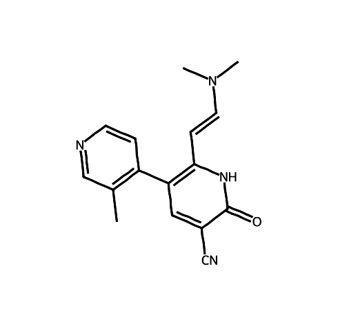 Cc1cnccc1-c1cc(C#N)c(=O)[nH]c1/C=C/N(C)C